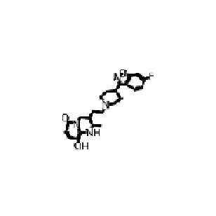 CC1Nc2c(O)ccc(=O)n2CC1CCN1CCC(c2noc3cc(F)ccc23)CC1